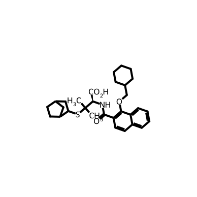 CC(C)(SC1CC2CCC1C2)[C@H](NC(=O)c1ccc2ccccc2c1OCC1CCCCC1)C(=O)O